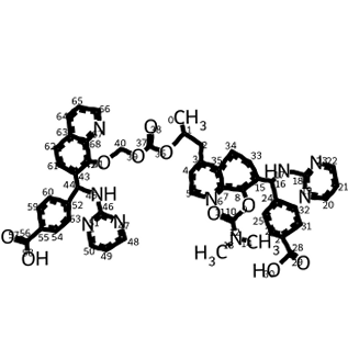 CC(Cc1ccnc2c(OC(=O)N(C)C)c(C(Nc3ncccn3)c3ccc(C(=O)O)cc3)ccc12)OC(=O)OCOc1c(C(Nc2ncccn2)c2ccc(C(=O)O)cc2)ccc2cccnc12